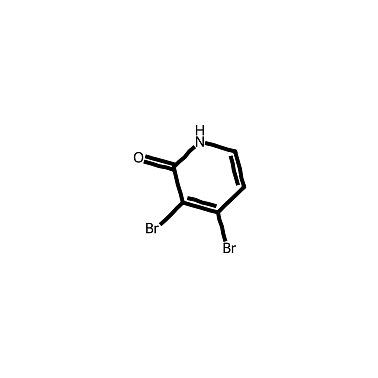 O=c1[nH]ccc(Br)c1Br